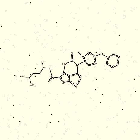 CC[C@@H](CC[C@@H](C)O)NC(=O)c1sc2nccc3c2c1NC(=O)N3c1ccc(Oc2ccccc2)cc1C